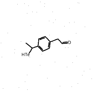 CC([TeH])c1ccc(CC=O)cc1